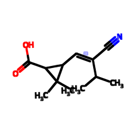 CC(C)/C(C#N)=C\C1C(C(=O)O)C1(C)C